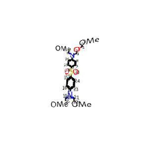 COCOCN(COC)c1ccc(S(=O)(=O)c2ccc(N(COC)COC)cc2)cc1